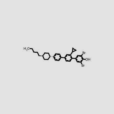 CCCCC[C@H]1CC[C@H](c2ccc(-c3ccc(-c4cc(Br)c(O)c(Br)c4)c(C4CC4)c3)cc2)CC1